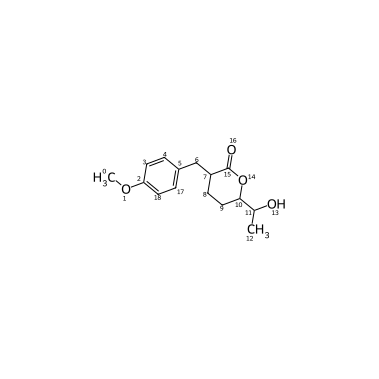 COc1ccc(CC2CCC(C(C)O)OC2=O)cc1